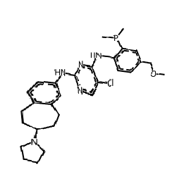 COCc1ccc(Nc2nc(Nc3ccc4c(c3)CC[C@@H](N3CCCC3)CC4)ncc2Cl)c(P(C)C)c1